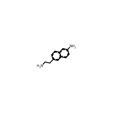 NCCc1ccc2cc(N)ccc2c1